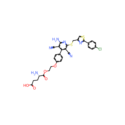 N#Cc1c(N)nc(SCc2csc(-c3ccc(Cl)cc3)n2)c(C#N)c1-c1ccc(OCCOC(=O)[C@@H](N)CCC(=O)O)cc1